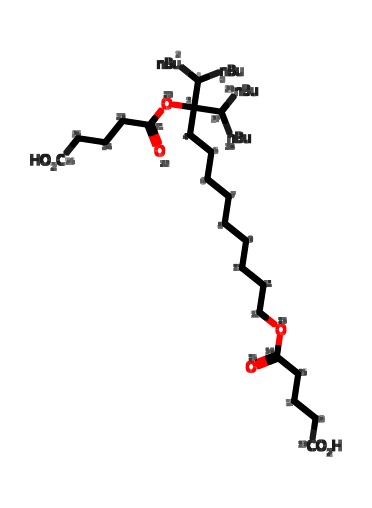 CCCCC(CCCC)C(CCCCCCCCCOC(=O)CCCC(=O)O)(OC(=O)CCCC(=O)O)C(CCCC)CCCC